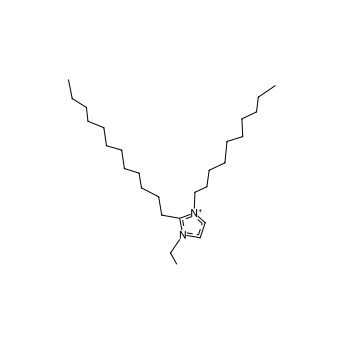 CCCCCCCCCCCCc1n(CC)cc[n+]1CCCCCCCCCC